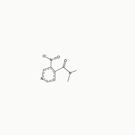 CN(C)C(=O)c1ccncc1[N+](=O)[O-]